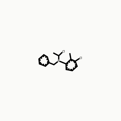 Cc1c(Cl)cccc1N(Cc1ccccc1)C(C)Cl